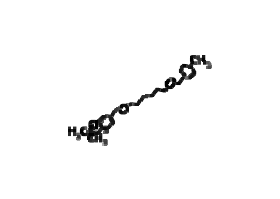 Cc1ccc(COCCCCCCOCc2ccc(C[Si](C)(C)C)cc2)cc1